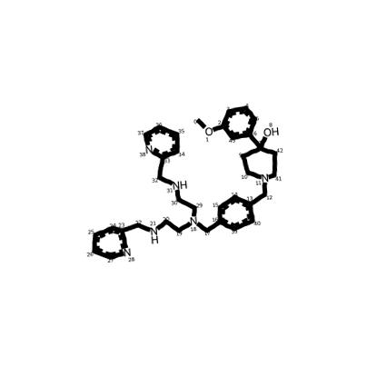 COc1cccc(C2(O)CCN(Cc3ccc(CN(CCNCc4ccccn4)CCNCc4ccccn4)cc3)CC2)c1